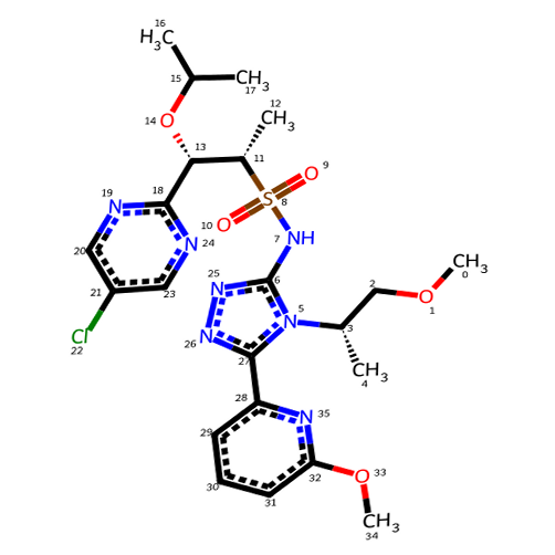 COC[C@H](C)n1c(NS(=O)(=O)[C@@H](C)[C@@H](OC(C)C)c2ncc(Cl)cn2)nnc1-c1cccc(OC)n1